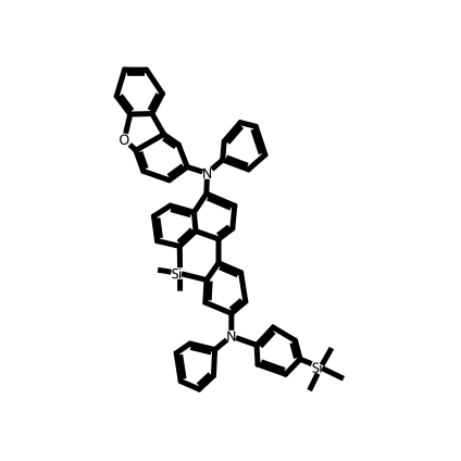 C[Si](C)(C)c1ccc(N(c2ccccc2)c2ccc3c(c2)[Si](C)(C)c2cccc4c(N(c5ccccc5)c5ccc6oc7ccccc7c6c5)ccc-3c24)cc1